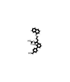 O=C(O)Oc1[nH]c2c(-c3ccc(CO)cc3)cccc2c1CCCOc1cccc2ccccc12